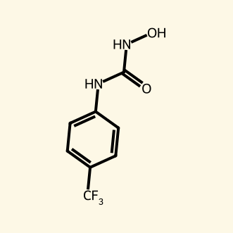 O=C(NO)Nc1ccc(C(F)(F)F)cc1